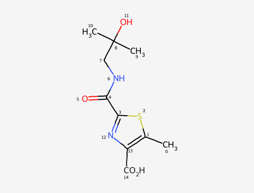 Cc1sc(C(=O)NCC(C)(C)O)nc1C(=O)O